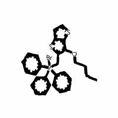 CCCCOc1c(CP(Br)(c2ccccc2)(c2ccccc2)c2ccccc2)sc2ccsc12